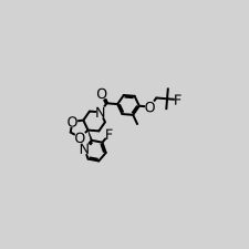 Cc1cc(C(=O)N2CC[C@]3(c4ncccc4F)OCOC3C2)ccc1OCC(C)(C)F